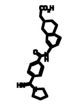 N=C(c1ccc(C(=O)Nc2ccc3c(c2)CC(CC(=O)O)CC3)cc1)N1CCCC1